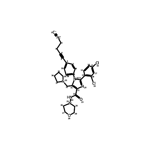 [C-]#[N+]CCC#Cc1ccc(-n2c(-c3ccc(Cl)cc3Cl)nc(C(=O)NN3CCOCC3)c2CN2CCCC2)cc1